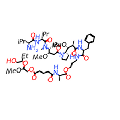 CCC(CO)OC(COC(=O)CCCC(=O)N[C@H](C)C(=O)OCCCNC(=O)[C@H](Cc1ccccc1)NC(=O)[C@H](C)[C@@H](OC)[C@@H]1CCCN1C(=O)C[C@@H](OC)[C@H]([C@@H](C)CC)N(C)C(=O)[C@@H](NC(=O)[C@@H](N)C(C)C)C(C)C)OC